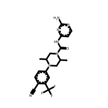 CC1CN(c2ccc(C#N)c(C(F)(F)F)c2)C(C)CN1C(=O)Nc1ccnc(N)n1